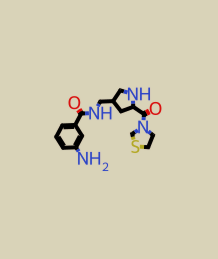 Nc1cccc(C(=O)NCC2CNC(C(=O)N3CCSC3)C2)c1